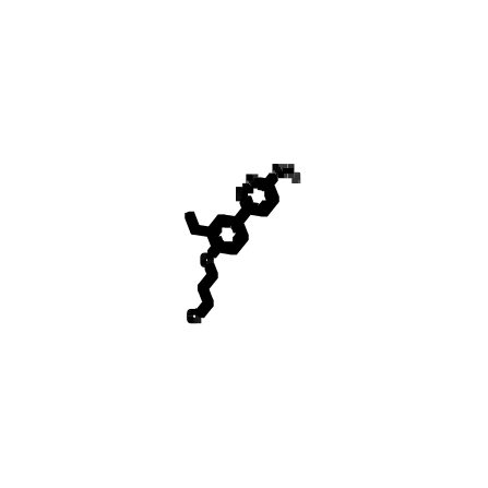 CCc1cc(-c2ccc(N)nn2)ccc1OCCCCl